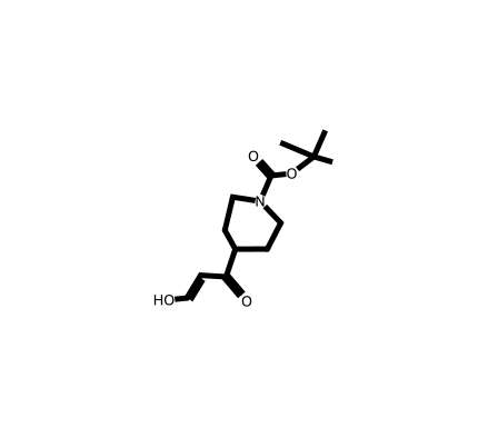 CC(C)(C)OC(=O)N1CCC(C(=O)C=CO)CC1